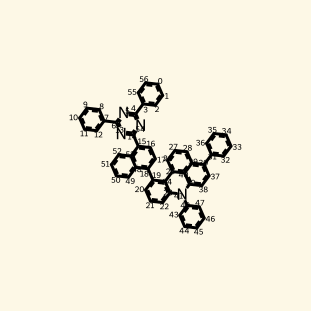 c1ccc(-c2nc(-c3ccccc3)nc(-c3ccc(-c4cccc5c4-c4cccc6c(-c7ccccc7)ccc(c46)N5c4ccccc4)c4ccccc34)n2)cc1